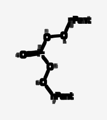 CCCCCOO[P](=O)OOCCCCC